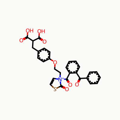 O=C(c1ccccc1)c1ccccc1C(=O)[N+]1(CCOc2ccc(CC(C(=O)O)C(=O)O)cc2)C=CSC1=O